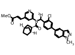 [2H]C(c1ccc(-c2ccc3c(cnn3C)c2)cc1Cl)N(C(=O)[C@@H]1C[C@@H]2CC[C@H]1C2)c1cncc(/C=C/C(=O)OC)c1